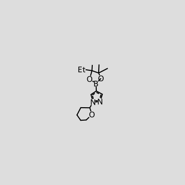 CCC1(C)OB(c2cnn(C3CCCCO3)c2)OC1(C)C